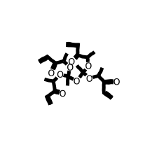 C=CC(=O)C(C)OC(C)(OC(C)C(=O)C=C)OC(C)(OC(C)C(=O)C=C)OC(C)C(=O)C=C